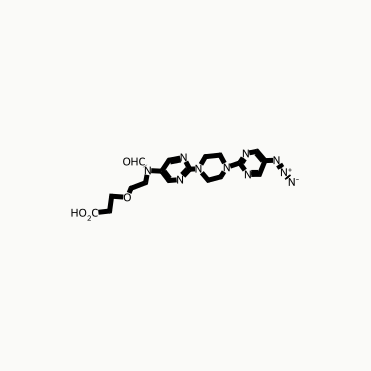 [N-]=[N+]=Nc1cnc(N2CCN(c3ncc(N(C=O)CCOCCC(=O)O)cn3)CC2)nc1